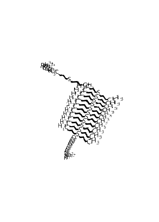 CCCCSCCCC.CCCCSCCCC.CCCCSCCCC.CCCCSCCCC.CCCCSCCCC.CCCCSCCCC.CCCCSCCCC.CCCCSCCCC.CCCCSCCCC.CCCCSCCCC.CCCCSCCCC.CCCCSCCCC.[Cl-].[Cl-].[Cl-].[Cl-].[Cl-].[Cl-].[Cl-].[Cl-].[Cl-].[Cl-].[Cl-].[Cl-].[Rh+3].[Rh+3].[Rh+3].[Rh+3]